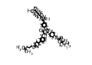 CN(C)CCCOc1ccc(-c2cccc(C[C@H](NC(=O)[C@H]3CC[C@H](CNC(=O)OC(C)(C)C)CC3)C(=O)Nc3ccc(-c4nc(C(F)(F)C(F)(F)C(F)(F)C(=O)O)n[nH]4)cc3)c2)cn1